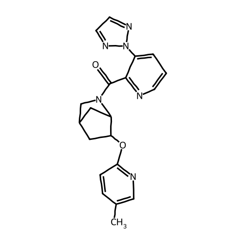 Cc1ccc(OC2CC3CC2N(C(=O)c2ncccc2-n2nccn2)C3)nc1